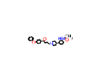 CC(=O)Nc1cccc(C2CCN(CCCC(=O)c3ccc(Oc4ccccc4)cc3)CC2)c1